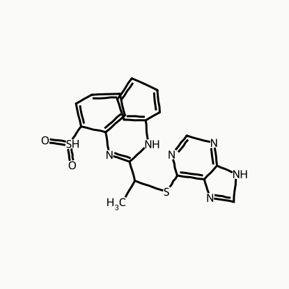 CC(Sc1ncnc2[nH]cnc12)/C(=N/c1ccccc1[SH](=O)=O)Nc1ccccc1